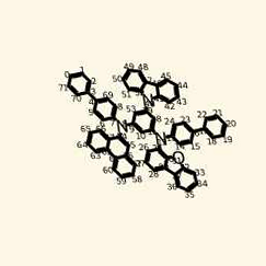 c1ccc(-c2ccc(N(c3cc(N(c4ccc(-c5ccccc5)cc4)c4cccc5c4oc4ccccc45)cc(-n4c5ccccc5c5ccccc54)c3)c3cc4ccccc4c4ccccc34)cc2)cc1